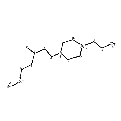 CC(C)CCN1CCN(CCC(C)CCNC(C)C)CC1